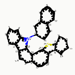 c1ccc2cc(-n3c4ccccc4c4ccc5ccc6c7ccccc7sc6c5c43)ccc2c1